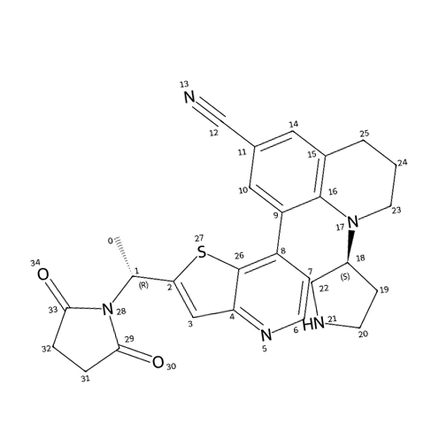 C[C@H](c1cc2nccc(-c3cc(C#N)cc4c3N([C@H]3CCNC3)CCC4)c2s1)N1C(=O)CCC1=O